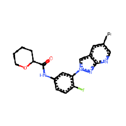 CC(C)c1cnc2nn(-c3cc(NC(=O)C4CCCCO4)ccc3F)cc2c1